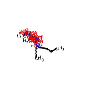 CCCCCCCC/C=C\CCCCCCCCCCCCCCCC(=O)N[C@@H](CO[C@@H]1OC(CO)[C@@H](O[C@@H]2OC(CO)[C@H](O)[C@H](O[C@@H]3OC(CO)[C@@H](O[C@@H]4OC(CO)[C@H](O)[C@H](O[C@H]5OC(CO)[C@H](O)[C@H](O)C5NC(C)=O)C4O[C@H]4OC(C)[C@@H](O)C(O)[C@@H]4O)[C@H](O)C3NC(C)=O)C2O)[C@H](O)C1O)[C@H](O)/C=C/CCCCCCCCCCCCC